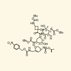 C=C(C)OC(=O)N[C@@H]1CC=C(CNC(=O)OCc2ccc([N+](=O)[O-])cc2)OC1[C@H]1[C@H](O)[C@@H](O[C@H]2OC[C@](C)(O)[C@H](N(C)C(=O)OC(C)(C)C)[C@H]2O)[C@H](NC(=O)C2(O)CC(NC(=O)OC(C)(C)C)C2)C[C@@H]1NC(=O)OC(C)(C)C